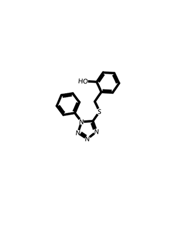 Oc1ccccc1CSc1nnnn1-c1ccccc1